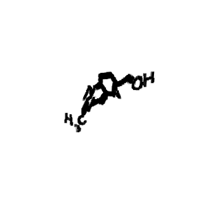 Cn1cc2nc(CO)ccc2n1